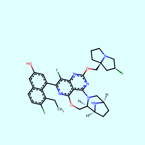 CCc1c(F)ccc2cc(O)cc(-c3nc4c5c(nc(OC[C@@]67CCCN6C[C@@H](F)C7)nc5c3F)N3C[C@H]5CC[C@H](N5)[C@H]3CO4)c12